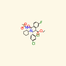 CCOC(=O)[C@@H]1c2cc(F)ccc2C(=O)N([C@H]2CCCC[C@@H]2NS(C)(=O)=O)[C@H]1c1ccc(Cl)cc1Cl